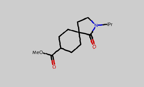 COC(=O)C1CCC2(CC1)CCN(C(C)C)C2=O